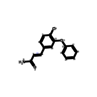 NC(=O)/C=C/c1ccc(Cl)c(Oc2ccccc2)c1